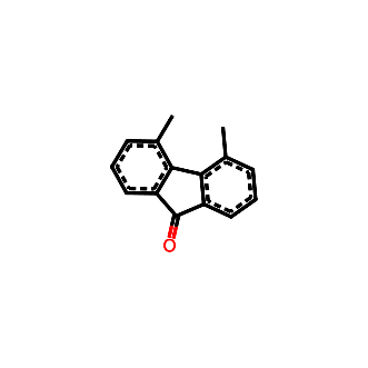 Cc1cccc2c1-c1c(C)cccc1C2=O